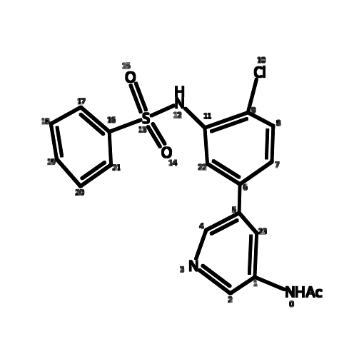 CC(=O)Nc1cncc(-c2ccc(Cl)c(NS(=O)(=O)c3ccccc3)c2)c1